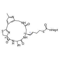 CCCCCCCC(=O)SCC/C=C/[C@@H]1CC(=O)NCc2cc(cc(C)n2)C2=N[C@@](C)(CS2)C(=O)NC(C(C)C)C(=O)N1